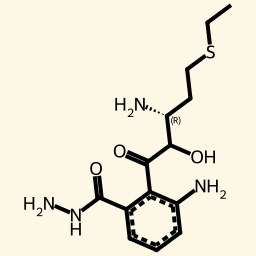 CCSCC[C@@H](N)C(O)C(=O)c1c(N)cccc1C(=O)NN